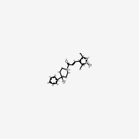 CCn1nc(C)c(C=CC(=O)N2CCC(C(C)=O)(c3ccccc3)CC2)c1C